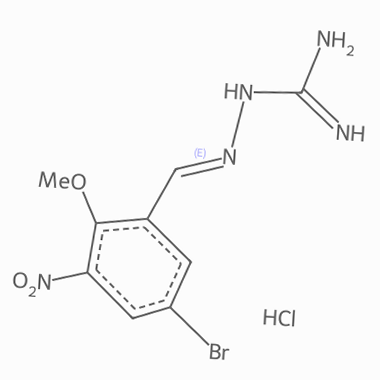 COc1c(/C=N/NC(=N)N)cc(Br)cc1[N+](=O)[O-].Cl